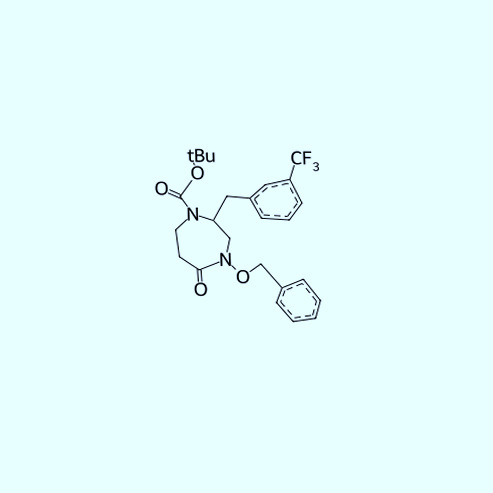 CC(C)(C)OC(=O)N1CCC(=O)N(OCc2ccccc2)CC1Cc1cccc(C(F)(F)F)c1